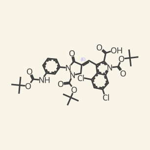 CC(C)(C)OC(=O)Nc1cccc(N2C(=O)/C(=C/c3c(C(=O)O)n(C(=O)OC(C)(C)C)c4cc(Cl)cc(Cl)c34)CN2C(=O)OC(C)(C)C)c1